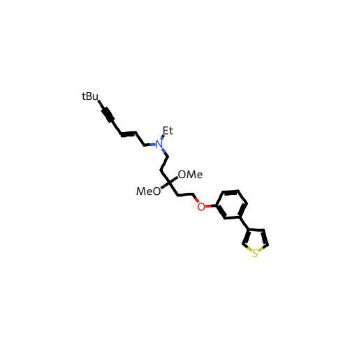 CCN(C/C=C/C#CC(C)(C)C)CCC(CCOc1cccc(-c2ccsc2)c1)(OC)OC